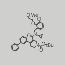 COCCOc1c(Cl)cccc1CN(C(=O)C1=C(c2cccc(-c3ccccc3)c2)CCN(C(=O)OC(C)(C)C)C1)C1CC1